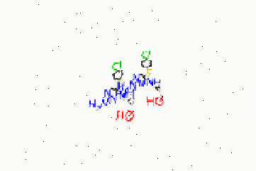 Nc1ncc(Sc2ccc(Cl)cc2)c(NC[C@@H]2C[C@@H]2CO)n1.Nc1ncc(Sc2ccc(Cl)cc2)c(NC[C@@H]2C[C@H]2CO)n1